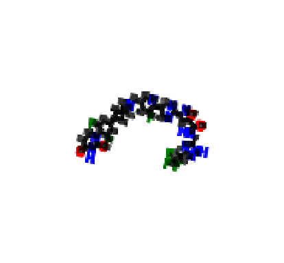 CC(C)(c1n[nH]c(CNC(=O)c2cc(-c3ncc(-c4ncc(CN5CC6(CC(c7cc(F)c(N8CCC(=O)NC8=O)c(F)c7)C6)C5)cc4F)cn3)no2)n1)C(F)(F)F